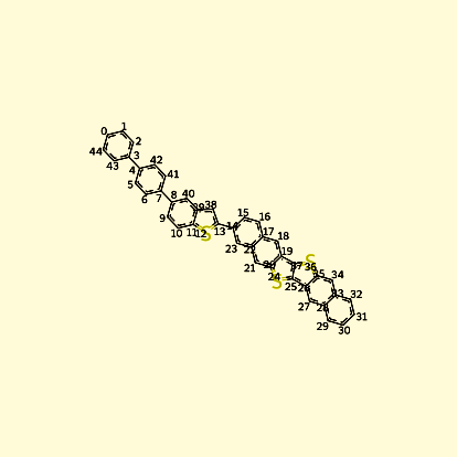 c1ccc(-c2ccc(-c3ccc4sc(-c5ccc6cc7c(cc6c5)sc5c6cc8ccccc8cc6sc75)cc4c3)cc2)cc1